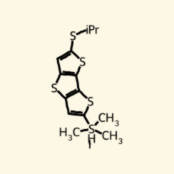 CC(C)Sc1cc2sc3cc([SH](C)(C)(C)I)sc3c2s1